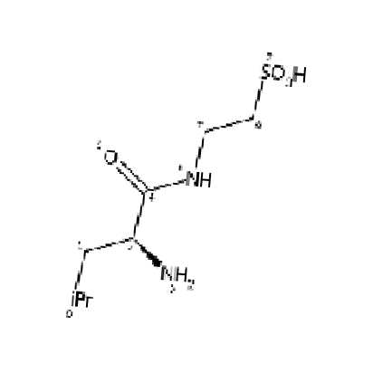 CC(C)C[C@H](N)C(=O)NCCS(=O)(=O)O